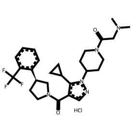 CN(C)CC(=O)N1CCC(n2ncc(C(=O)N3CC[C@@H](c4ccccc4C(F)(F)F)C3)c2C2CC2)CC1.Cl